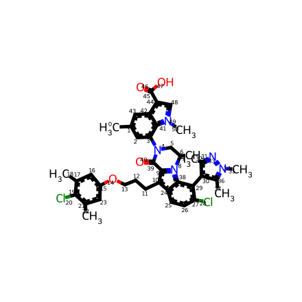 Cc1cc(N2CC(C)n3c(c(CCCOc4cc(C)c(Cl)c(C)c4)c4ccc(Cl)c(-c5c(C)nn(C)c5C)c43)C2=O)c2c(c1)c(C(=O)O)cn2C